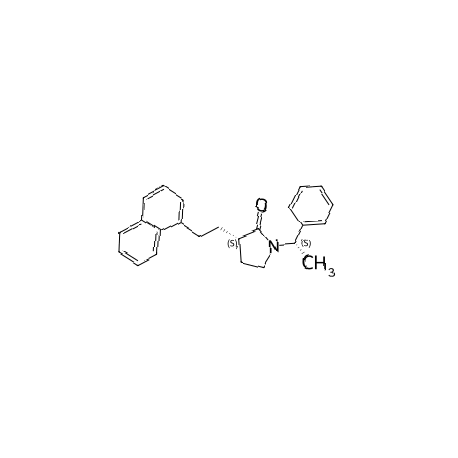 C[C@@H](c1ccccc1)N1CC[C@H](CCc2cccc3ccccc23)C1=O